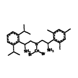 Cc1cc(C)c(C(N)C[N](CC(N)c2c(C(C)C)cccc2C(C)C)[Co]([Br])[Br])c(C)c1